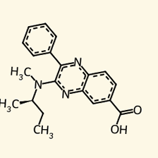 CC[C@@H](C)N(C)c1nc2cc(C(=O)O)ccc2nc1-c1ccccc1